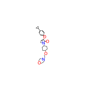 O=C1C(Oc2ccc(C3CC3)cc2)=CCN1C1CCC(OCCN2CCOCC2)CC1